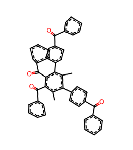 Cc1c(C(=O)c2ccccc2)c(C(=O)c2ccccc2)c(-c2ccc(C(=O)c3ccccc3)cc2)c(C)c1-c1ccc(C(=O)c2ccccc2)cc1